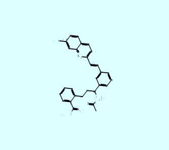 CC(=O)NC(CCc1ccccc1C(=O)O)c1cccc(/C=C/c2ccc3ccc(Cl)cc3n2)c1